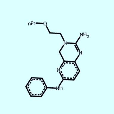 CCCOCCN1Cc2nc(Nc3ccccc3)ccc2N=C1N